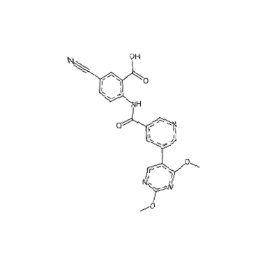 COc1ncc(-c2cncc(C(=O)Nc3ccc(C#N)cc3C(=O)O)c2)c(OC)n1